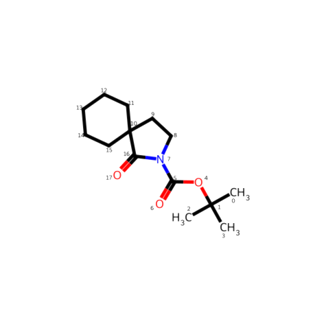 CC(C)(C)OC(=O)N1CCC2(CCCCC2)C1=O